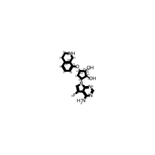 Nc1ncnc2c1c(F)cn2[C@@H]1C[C@H](Oc2cccc3c2CNCC3)[C@@H](O)[C@H]1O